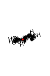 O=C(O)NC(c1ccccc1)c1cccc(OCc2ccc(CCNC[C@@H](O)c3ccc(O)c4[nH]c(=O)ccc34)c(C(F)(F)F)c2)c1